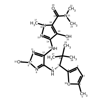 Cc1ccc([C@H](Nc2n[s+]([O-])nc2Nc2nn(C)c(C(=O)N(C)C)c2O)C(C)(C)C)o1